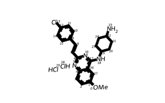 COc1ccc2nc(/C=C/c3ccc(Cl)cc3)nc(NC3CCC(N)CC3)c2c1.Cl.Cl